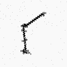 CCC(NC(=O)COCCOCCNC(=O)COCCOCCNC(=O)CC[C@H](NC(=O)CCCCCCCCCCCCCCCCCCC(=O)O)C(=O)O)C(=O)O